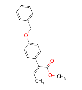 CC=C(C(=O)OC)c1ccc(OCc2ccccc2)cc1